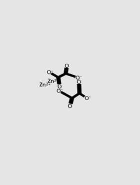 O=C([O-])C(=O)[O-].O=C([O-])C(=O)[O-].[Zn+2].[Zn+2]